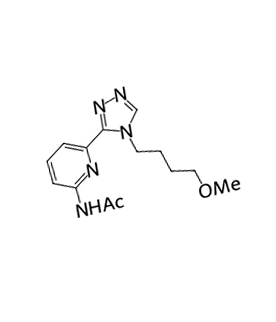 COCCCCn1cnnc1-c1cccc(NC(C)=O)n1